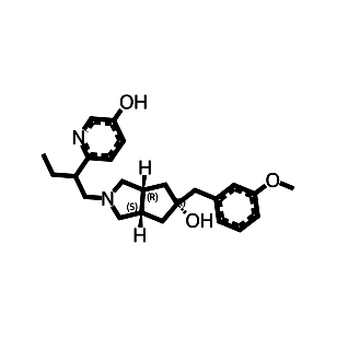 CCC(CN1C[C@@H]2C[C@@](O)(Cc3cccc(OC)c3)C[C@@H]2C1)c1ccc(O)cn1